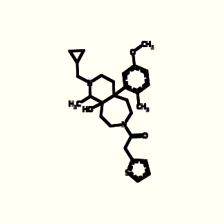 COc1ccc(C)c(C23CCN(C(=O)Cc4cccs4)CCC2(O)C(C)N(CC2CC2)CC3)c1